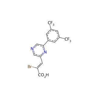 O=C(O)C(Br)=Cc1cncc(-c2cc(C(F)(F)F)cc(C(F)(F)F)c2)n1